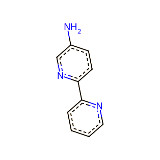 Nc1ccc(-c2ccccn2)nc1